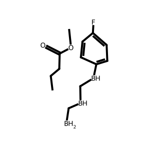 BCBCBc1ccc(F)cc1.CCCC(=O)OC